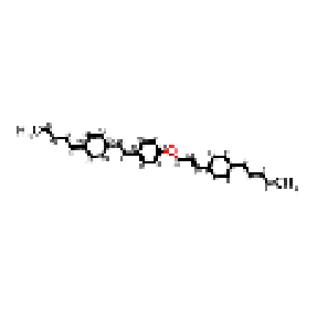 CCCCCC1CCC(C=CCOc2ccc(CCC3CCC(CCCCC)CC3)cc2)CC1